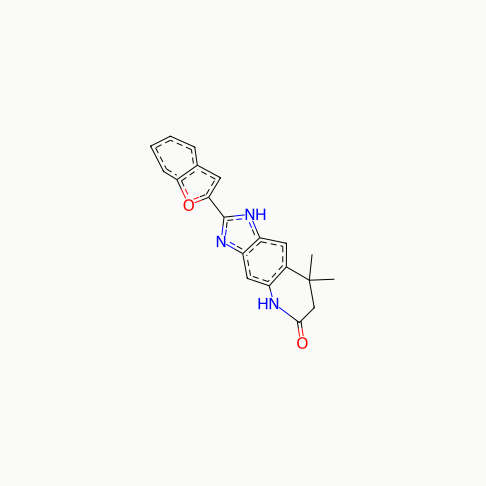 CC1(C)CC(=O)Nc2cc3nc(-c4cc5ccccc5o4)[nH]c3cc21